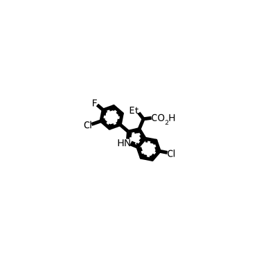 CCC(C(=O)O)c1c(-c2ccc(F)c(Cl)c2)[nH]c2ccc(Cl)cc12